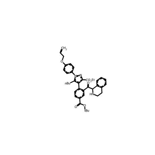 C=CCOc1ccc(-n2nc(C(=O)OCC)c(-c3ccc(C(=O)OC(C)(C)C)cc3C(=O)C3NCCc4ccccc43)c2CCCC)cc1